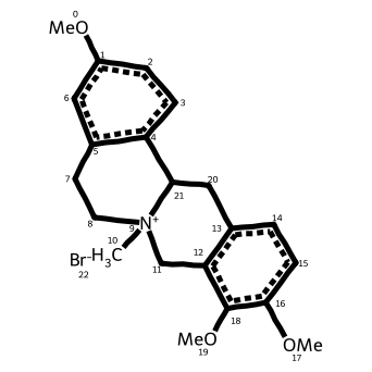 COc1ccc2c(c1)CC[N+]1(C)Cc3c(ccc(OC)c3OC)CC21.[Br-]